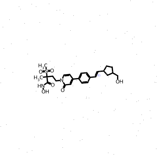 CC(CCn1ccc(-c2ccc(/C=C/C3CCC(CO)C3)cc2)cc1=O)(C(=O)NO)S(C)(=O)=O